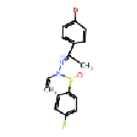 C=CN(/N=C(\C)c1ccc(Br)cc1)[S+]([O-])c1ccc(F)cc1